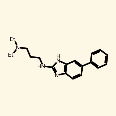 CCN(CC)CCCNc1nc2ccc(-c3ccccc3)cc2[nH]1